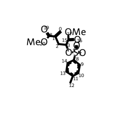 C=C(CC(OS(=O)(=O)c1ccc(C)cc1)C(=O)OC)C(=O)OC